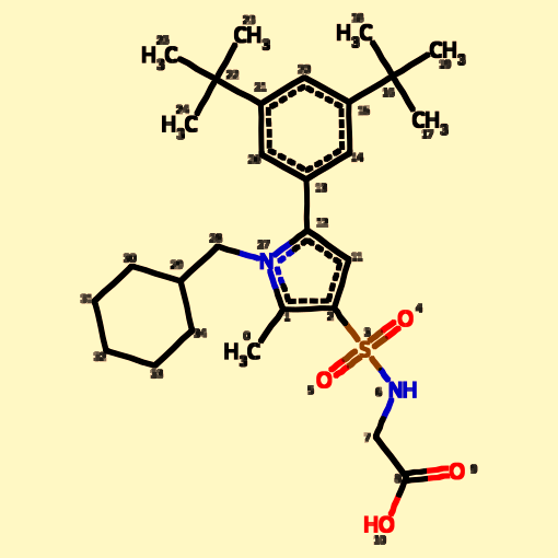 Cc1c(S(=O)(=O)NCC(=O)O)cc(-c2cc(C(C)(C)C)cc(C(C)(C)C)c2)n1CC1CCCCC1